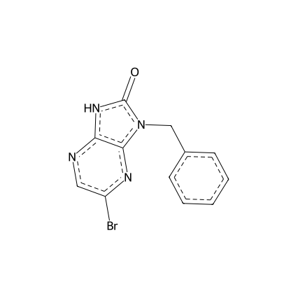 O=c1[nH]c2ncc(Br)nc2n1Cc1ccccc1